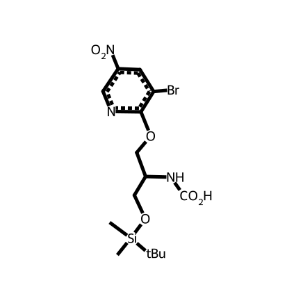 CC(C)(C)[Si](C)(C)OCC(COc1ncc([N+](=O)[O-])cc1Br)NC(=O)O